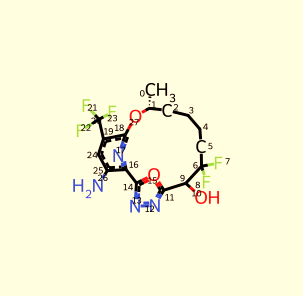 C[C@@H]1CCCCC(F)(F)C(O)c2nnc(o2)-c2nc(c(C(F)(F)F)cc2N)O1